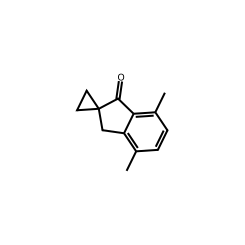 Cc1ccc(C)c2c1CC1(CC1)C2=O